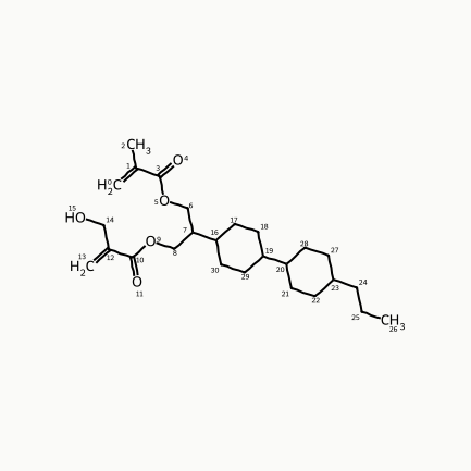 C=C(C)C(=O)OCC(COC(=O)C(=C)CO)C1CCC(C2CCC(CCC)CC2)CC1